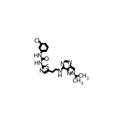 CC(C)n1cc2ncnc(NCCc3cnc(NC(=O)Nc4cccc(Cl)c4)s3)c2n1